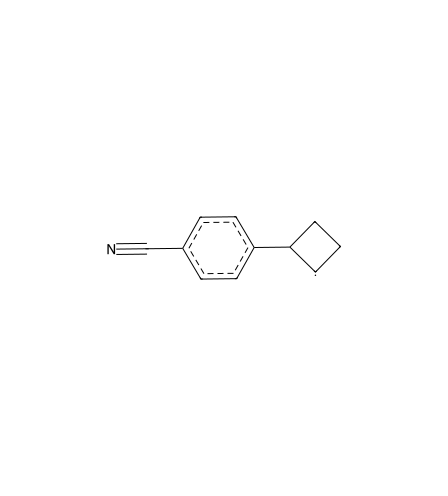 N#Cc1ccc(C2[CH]CC2)cc1